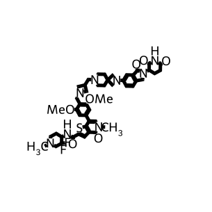 COc1cc(-c2cn(C)c(=O)c3cc(C(=O)NC4CCN(C)CC4(F)F)sc23)cc(OC)c1CN1CC(CN2CCC3(CC2)CN(c2ccc4c(c2)C(=O)N(C2CCC(=O)NC2=O)C4)C3)C1